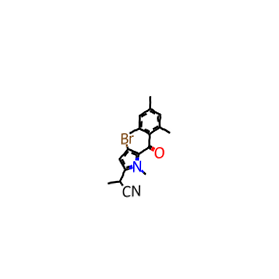 Cc1cc(C)c(C(=O)c2c(Br)cc(C(C)C#N)n2C)c(C)c1